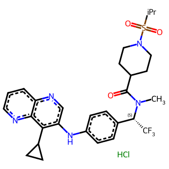 CC(C)S(=O)(=O)N1CCC(C(=O)N(C)[C@@H](c2ccc(Nc3cnc4cccnc4c3C3CC3)cc2)C(F)(F)F)CC1.Cl